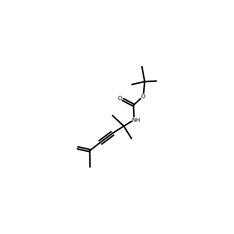 C=C(C)C#CC(C)(C)NC(=O)OC(C)(C)C